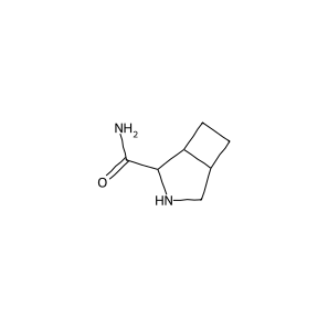 NC(=O)C1NCC2CCC21